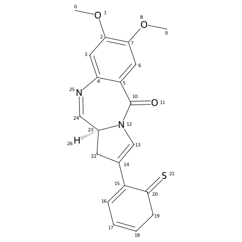 COc1cc2c(cc1OC)C(=O)N1C=C(C3=CC=CCC3=S)C[C@H]1C=N2